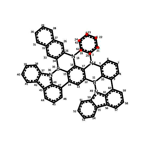 c1ccc(N2c3cccc4c3B(c3cc5c6c(c32)N(c2ccccc2)c2cc3ccccc3cc2B6n2c3ccccc3c3cccc-5c32)n2c3ccccc3c3cccc-4c32)cc1